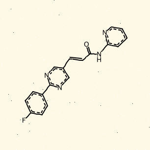 O=C(C=Cc1cnc(-c2ccc(F)cc2)nc1)Nc1ccccn1